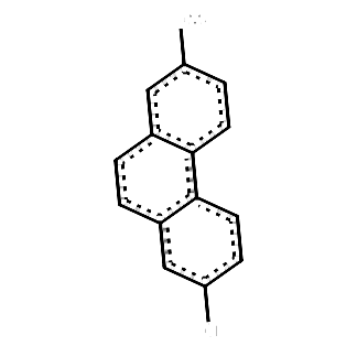 COc1ccc2c(ccc3cc(C)ccc32)c1